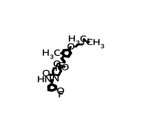 Cc1cc(OCCCN(C)C)ccc1/C=C/S(=O)(=O)N1CCC2(CC1)N=C(c1cccc(OF)c1)NC2=O